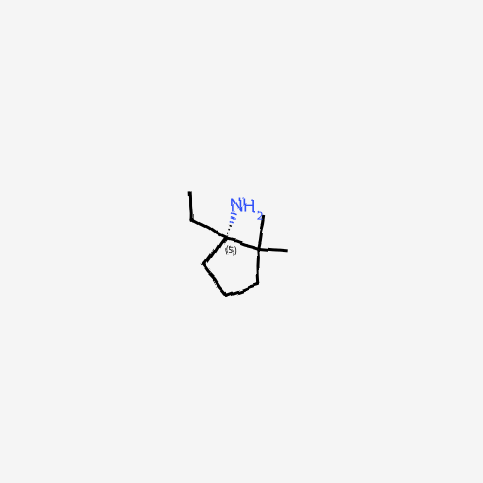 CC[C@]1(N)CCCC1(C)C